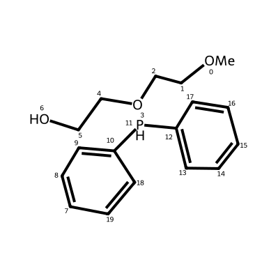 COCCOCCO.c1ccc(Pc2ccccc2)cc1